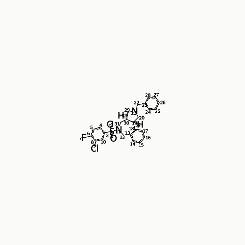 O=S(=O)(c1ccc(F)c(Cl)c1)N1Cc2ccccc2[C@H]2CN(Cc3ccccc3)C[C@@H]2C1